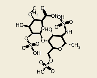 CO[C@H]1C(C(=O)O)O[C@@H](O[C@H]2C(COS(=O)(=O)O)O[C@@H](C)C(NS(=O)(=O)O)[C@H]2O)[C@@H](OS(=O)(=O)O)C1O